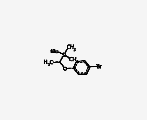 CC(Oc1ccc(Br)cc1)[Si](C)(C)C(C)(C)C